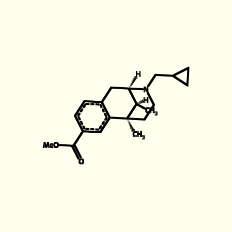 COC(=O)c1ccc2c(c1)[C@]1(C)CCN(CC3CC3)[C@H](C2)[C@H]1C